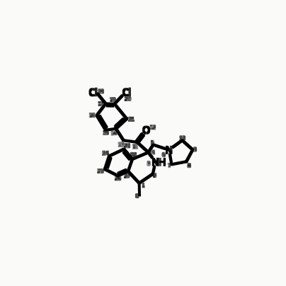 CC1CNC(CN2CCCC2)(C(=O)Cc2ccc(Cl)c(Cl)c2)c2ccccc21